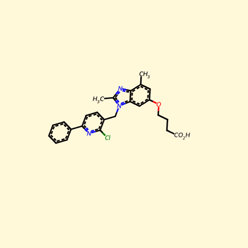 Cc1cc(OCCCC(=O)O)cc2c1nc(C)n2Cc1ccc(-c2ccccc2)nc1Cl